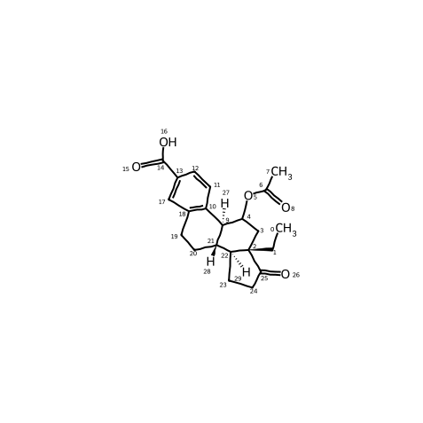 CC[C@]12CC(OC(C)=O)[C@@H]3c4ccc(C(=O)O)cc4CC[C@H]3[C@@H]1CCC2=O